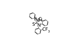 FC(F)(F)c1ccccc1N(C(=S)Nc1ccccc1)c1ccccc1C(F)(F)F